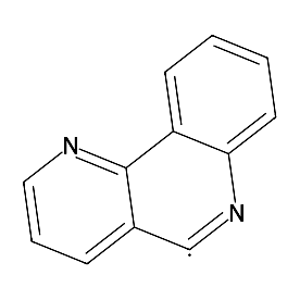 [c]1nc2ccccc2c2ncccc12